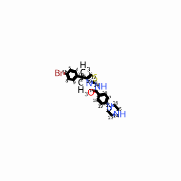 CC(C)(c1ccc(Br)cc1)c1csc(NC(=O)c2ccc(N3CCNCC3)cc2)n1